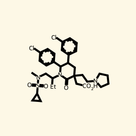 CCC(CN(C)S(=O)(=O)C1CC1)N1C(=O)C(CCN2CCCC2)(CC(=O)O)CC(c2cccc(Cl)c2)C1c1ccc(Cl)cc1